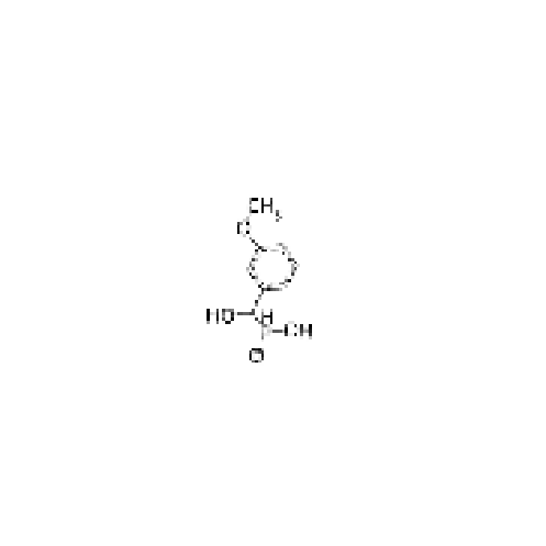 COc1cccc(C(O)[PH](=O)O)c1